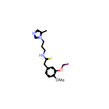 COc1ccc(CC(=S)NCCCn2cncc2C)cc1OCI